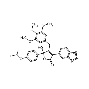 COc1cc(CC2=C(c3ccc4snnc4c3)C(=O)OC2(O)c2ccc(OC(F)F)cc2)cc(OC)c1OC